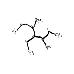 BC(CC)C(CC)C(B)CC